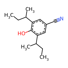 CCC(C)c1cc(C#N)cc(C(C)CC)c1O